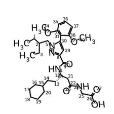 CCC(CC)Cn1nc(C(=O)N[C@@H](CCC2CCCCC2)CC(=O)NCC(=O)O)cc1-c1c(OC)cccc1OC